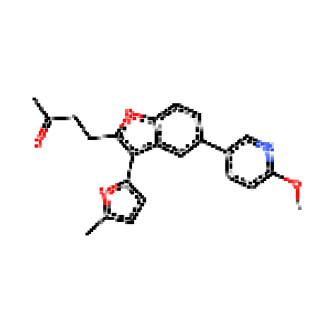 COc1ccc(-c2ccc3oc(CCC(C)=O)c(-c4ccc(C)o4)c3c2)cn1